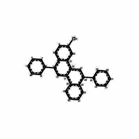 Clc1ccc2c(-c3ccccc3)cc3c4ccccc4c(-c4ccccc4)cc3c2c1